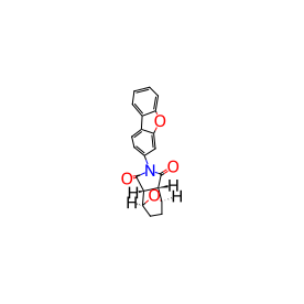 O=C1[C@@H]2[C@H](C(=O)N1c1ccc3c(c1)oc1ccccc13)[C@H]1CC[C@@H]2O1